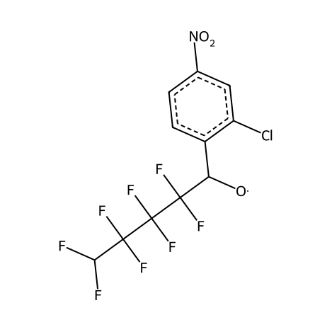 [O]C(c1ccc([N+](=O)[O-])cc1Cl)C(F)(F)C(F)(F)C(F)(F)C(F)F